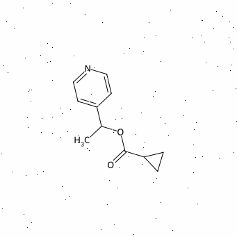 CC(OC(=O)C1CC1)c1ccncc1